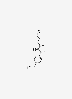 CC(C)Cc1ccc(C(C)C(=O)NCCCS)cc1